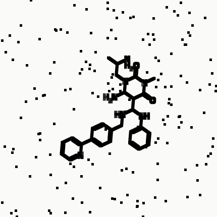 CC(N)CN1C(=O)N(C)C(=O)C(C(NCc2ccc(-c3ccccn3)cc2)Nc2ccccc2)C1N